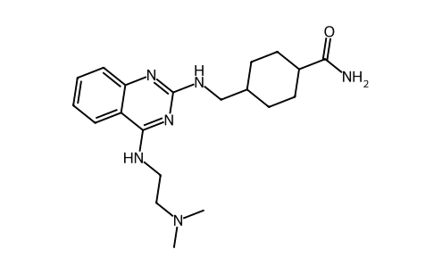 CN(C)CCNc1nc(NCC2CCC(C(N)=O)CC2)nc2ccccc12